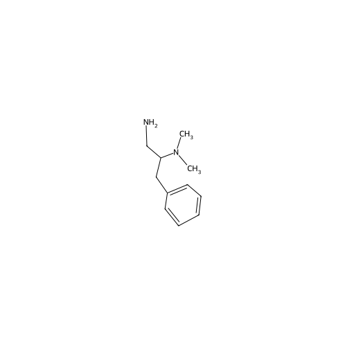 CN(C)C(CN)Cc1ccccc1